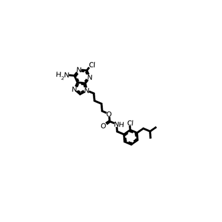 CC(C)Cc1cccc(CNC(=O)OCCCCn2cnc3c(N)nc(Cl)nc32)c1Cl